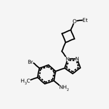 CCOC1CC(Cn2nccc2-c2cc(Br)c(C)cc2N)C1